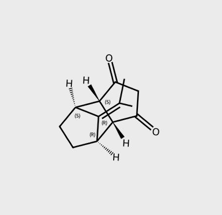 CC(C)=C1[C@H]2CC[C@@H]1[C@H]1C(=O)CC(=O)[C@H]12